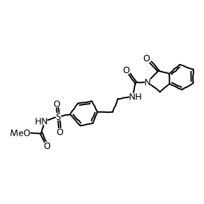 COC(=O)NS(=O)(=O)c1ccc(CCNC(=O)N2Cc3ccccc3C2=O)cc1